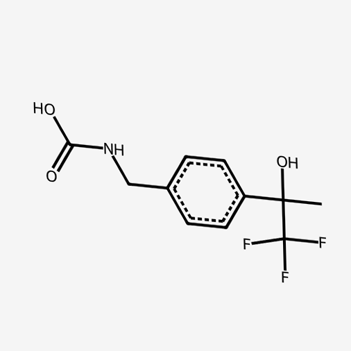 CC(O)(c1ccc(CNC(=O)O)cc1)C(F)(F)F